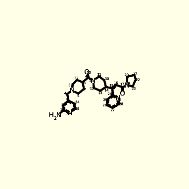 Nc1cc(CN2CCC(C(=O)N3CCC(/C(=C/C(=O)N4CCCC4)c4ccccn4)CC3)CC2)ccn1